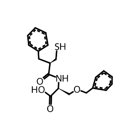 O=C(N[C@@H](COCc1ccccc1)C(=O)O)[C@H](CS)Cc1ccccc1